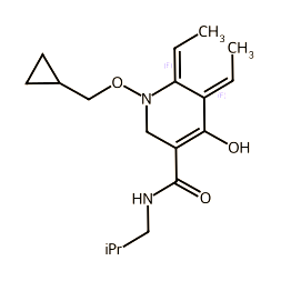 C/C=C1/C(O)=C(C(=O)NCC(C)C)CN(OCC2CC2)/C1=C/C